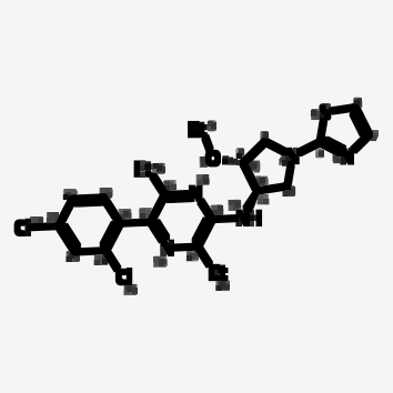 CCO[C@@H]1CN(c2nccs2)C[C@H]1Nc1nc(CC)c(-c2ccc(Cl)cc2Cl)nc1CC